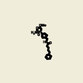 COC(=O)CN(c1ccc(CNC(=O)CCCCc2ccccc2)cc1)S(N)(=O)=O